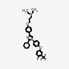 CCN(CC)CCCOc1ccc(-c2cn(-c3ccc(Oc4ccc(F)c(C(F)(F)F)c4)cc3)c(C3CCCCC3)n2)cc1